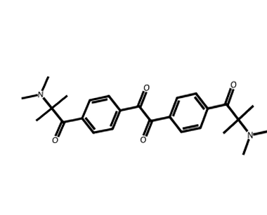 CN(C)C(C)(C)C(=O)c1ccc(C(=O)C(=O)c2ccc(C(=O)C(C)(C)N(C)C)cc2)cc1